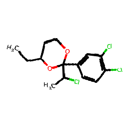 CCC1CCOC(c2ccc(Cl)c(Cl)c2)(C(C)Cl)O1